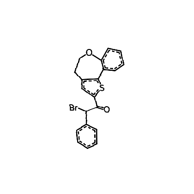 O=C(c1cc2c(s1)-c1ccccc1OCC2)C(Br)c1ccccc1